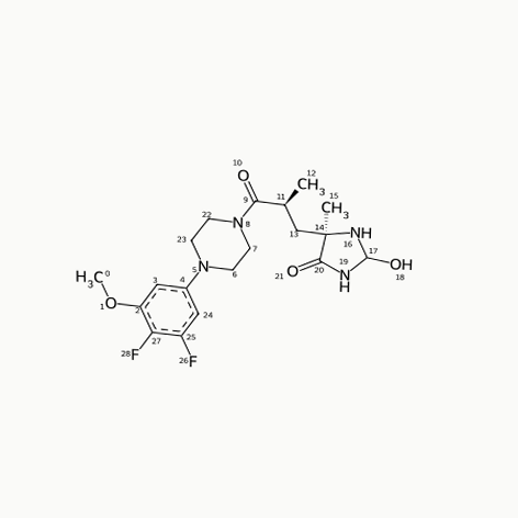 COc1cc(N2CCN(C(=O)[C@@H](C)C[C@@]3(C)NC(O)NC3=O)CC2)cc(F)c1F